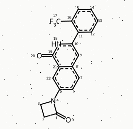 O=C1CCN1c1ccc2cc(-c3ccccc3C(F)(F)F)[nH]c(=O)c2c1